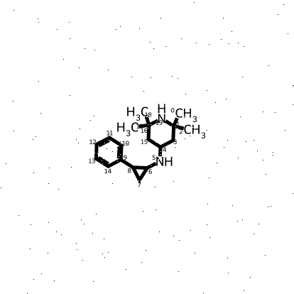 CC1(C)CC(NC2CC2c2ccccc2)CC(C)(C)N1